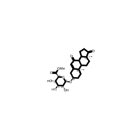 COC(=O)[C@H]1O[C@@H](O[C@@H]2CC[C@@]3(C)C(=CC(=O)C4C3CC[C@]3(C)C(=O)CCC43)C2)[C@H](O)[C@@H](O)[C@@H]1O